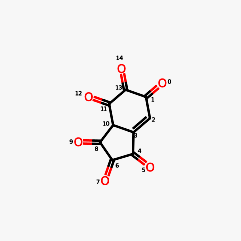 O=C1C=C2C(=O)C(=O)C(=O)C2C(=O)C1=O